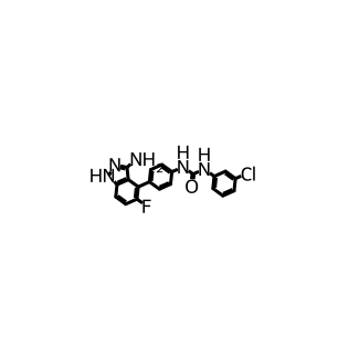 Nc1n[nH]c2ccc(F)c(-c3ccc(NC(=O)Nc4cccc(Cl)c4)cc3)c12